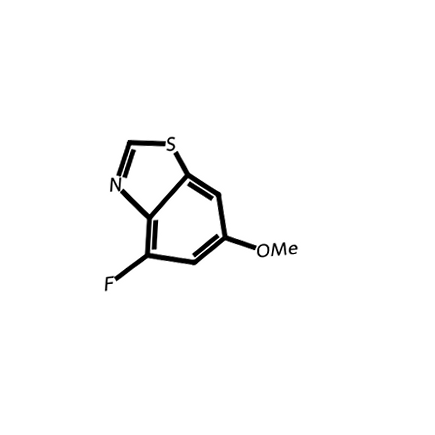 COc1cc(F)c2ncsc2c1